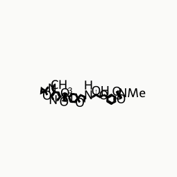 CNS(=O)(=O)c1cccc(OC[C@@H](O)CN[C@H]2COC3(CCN(S(=O)(=O)c4cnc5c(c4)N(C)CC4(CC4)O5)CC3)C2)c1